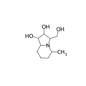 CC1CCCC2C(O)C(O)C(CO)N12